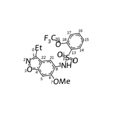 CCc1noc2cc(OC)c(NS(=O)(=O)c3ccccc3OC(F)(F)F)cc12